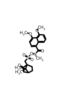 COc1cccc2c(C(=O)N(C)OS(=O)(=O)CC34CCC(CC3=O)C4(C)C)ccc(OC)c12